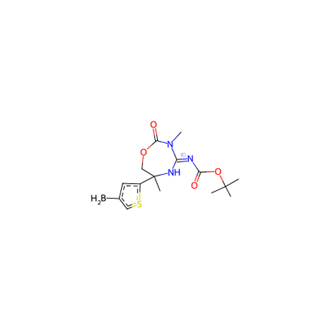 Bc1csc(C2(C)COC(=O)N(C)/C(=N/C(=O)OC(C)(C)C)N2)c1